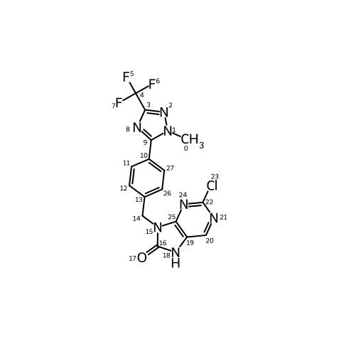 Cn1nc(C(F)(F)F)nc1-c1ccc(Cn2c(=O)[nH]c3cnc(Cl)nc32)cc1